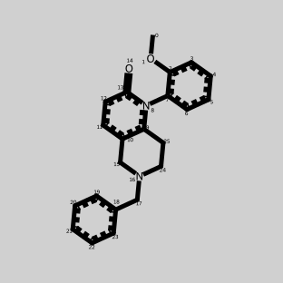 COc1ccccc1-n1c2c(ccc1=O)CN(Cc1ccccc1)CC2